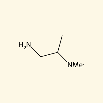 C[N]C(C)CN